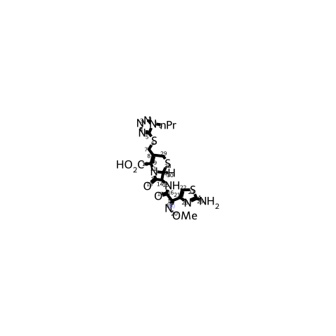 CCCn1nnnc1SCC1=C(C(=O)O)N2C(=O)C(NC(=O)/C(=N/OC)c3csc(N)n3)[C@H]2SC1